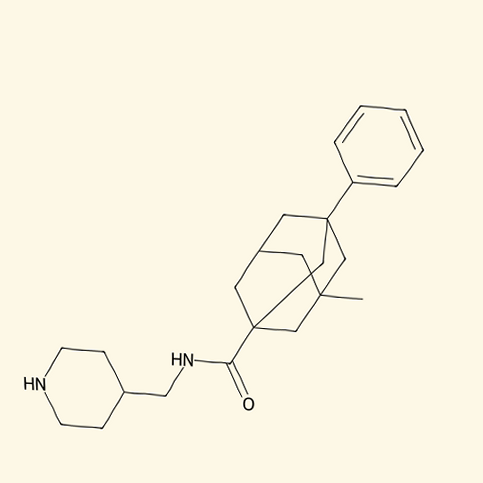 CC12CC3CC(C(=O)NCC4CCNCC4)(C1)CC(c1ccccc1)(C3)C2